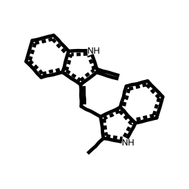 C=c1[nH]c2ccccc2/c1=C/c1c(C)[nH]c2ccccc12